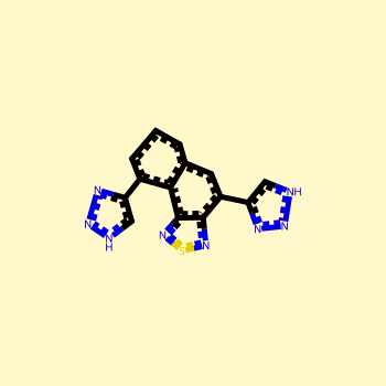 c1cc(-c2c[nH]nn2)c2c(c1)cc(-c1c[nH]nn1)c1nsnc12